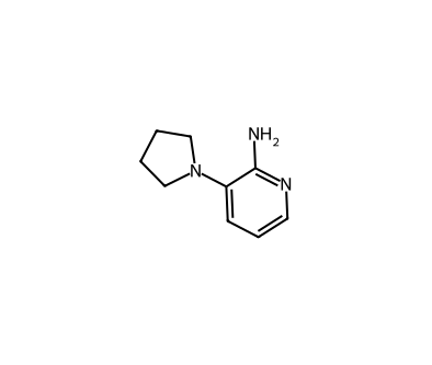 Nc1ncccc1N1CCCC1